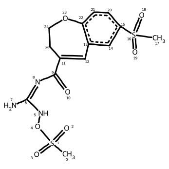 CS(=O)(=O)ONC(N)=NC(=O)C1=Cc2cc(S(C)(=O)=O)ccc2OCC1